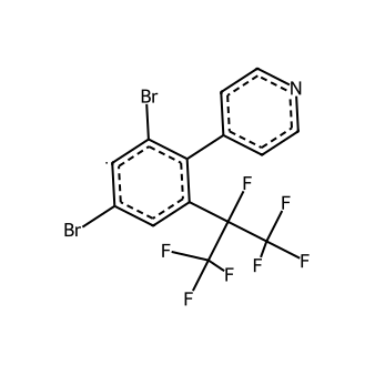 FC(F)(F)C(F)(c1cc(Br)[c]c(Br)c1-c1ccncc1)C(F)(F)F